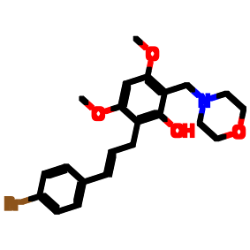 COc1cc(OC)c(CN2CCOCC2)c(O)c1C/C=C/c1ccc(Br)cc1